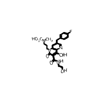 CN(CCCn1c(=O)c(C(=O)NCCO)c(O)c2ncc(Cc3ccc(F)cc3)cc21)C(=O)O